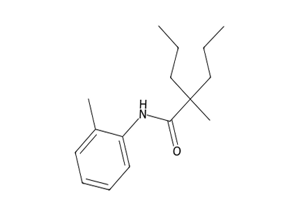 CCCC(C)(CCC)C(=O)Nc1ccccc1C